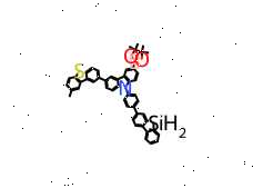 Cc1ccc2sc3ccc(-c4ccc5c(c4)c4cc(B6OC(C)(C)C(C)(C)O6)ccc4n5-c4ccc(-c5ccc6c(c5)[SiH2]c5ccccc5-6)cc4)cc3c2c1